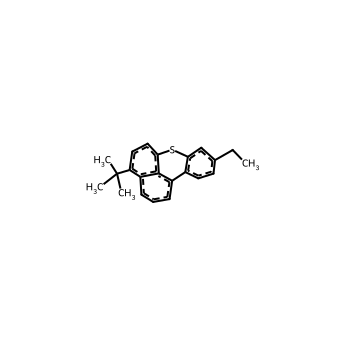 CCc1ccc2c(c1)Sc1ccc(C(C)(C)C)c3cccc-2c13